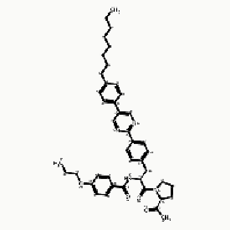 CCCCCCCCc1ccc(-c2cnc(-c3ccc(C[C@H](NC(=O)c4ccc(OCCC)cc4)C(=O)N4CCC[C@H]4C(C)=O)cc3)nc2)cc1